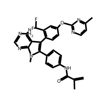 C=C(C)C(=O)Nc1ccc(-c2c(-c3ccc(Oc4nccc(C)n4)cc3C(F)F)c3c(N)ncnc3n2C)cc1